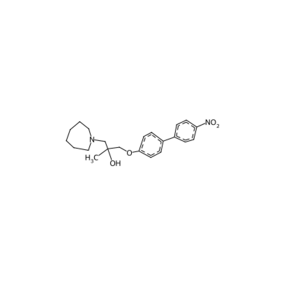 CC(O)(COc1ccc(-c2ccc([N+](=O)[O-])cc2)cc1)CN1CCCCCC1